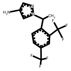 CC(c1ccc(C(F)(F)F)cc1C(F)(F)F)n1cc(N)cn1